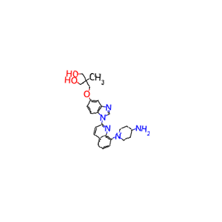 CC(CO)(CO)COc1ccc2c(c1)ncn2-c1ccc2cccc(N3CCC(N)CC3)c2n1